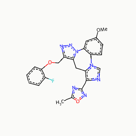 COc1ccc2c(c1)-n1nnc(COc3ccccc3F)c1Cc1c(-c3noc(C)n3)ncn1-2